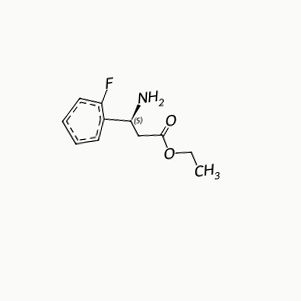 CCOC(=O)C[C@H](N)c1ccccc1F